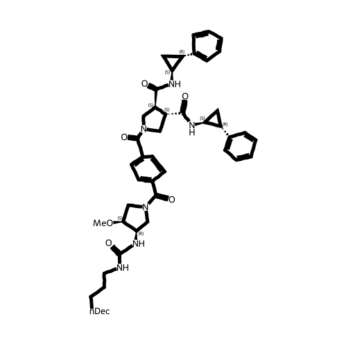 CCCCCCCCCCCCCNC(=O)N[C@@H]1CN(C(=O)c2ccc(C(=O)N3C[C@@H](C(=O)N[C@H]4C[C@@H]4c4ccccc4)[C@H](C(=O)N[C@H]4C[C@@H]4c4ccccc4)C3)cc2)C[C@@H]1OC